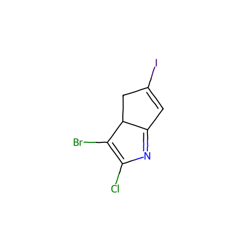 ClC1=C(Br)C2CC(I)=CC2=N1